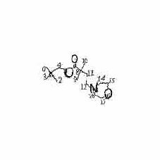 CC(C)(C)COC(=O)C(C)(C)CCN1CCOCC1